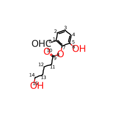 O=Cc1cccc(O)c1OC(=O)CCCCO